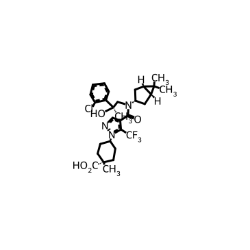 CC1(C)[C@@H]2C[C@H](N(C[C@@](C)(O)c3ccccc3Cl)C(=O)c3cnn([C@H]4CC[C@](C)(C(=O)O)CC4)c3C(F)(F)F)C[C@@H]21